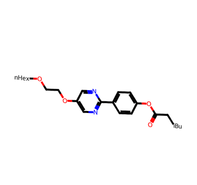 CCCCCCOCCOc1cnc(-c2ccc(OC(=O)CC(C)CC)cc2)nc1